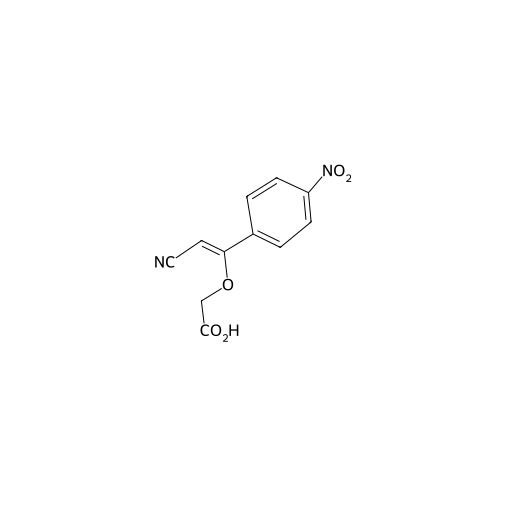 N#C/C=C(\OCC(=O)O)c1ccc([N+](=O)[O-])cc1